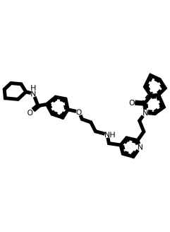 O=C(NC1CCCCC1)c1ccc(OCCCNCc2ccnc(CCn3ccc4ccccc4c3=O)c2)cc1